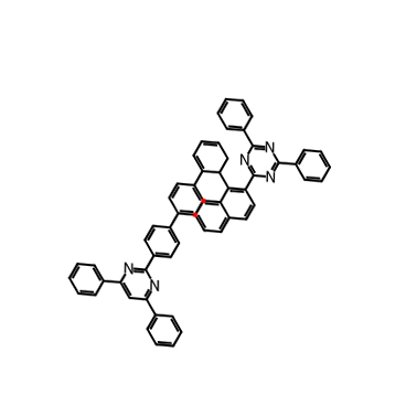 C1=CCC(c2c(-c3nc(-c4ccccc4)nc(-c4ccccc4)n3)ccc3ccccc23)C(c2ccc(-c3ccc(-c4nc(-c5ccccc5)cc(-c5ccccc5)n4)cc3)cc2)=C1